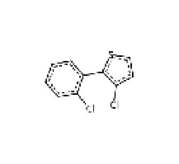 Clc1ccccc1-c1sccc1Cl